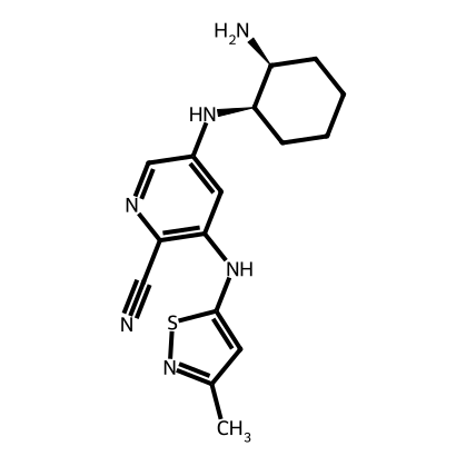 Cc1cc(Nc2cc(N[C@@H]3CCCC[C@@H]3N)cnc2C#N)sn1